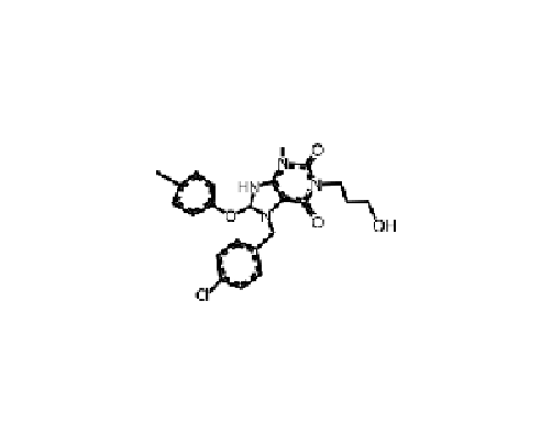 Cc1ccc(OC2Nc3c(c(=O)n(CCCO)c(=O)n3C)N2Cc2ccc(Cl)cc2)cc1